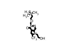 C[Si](C)(C)CCOCn1ncc2c(cc(C(F)(F)F)n2CCO)c1=O